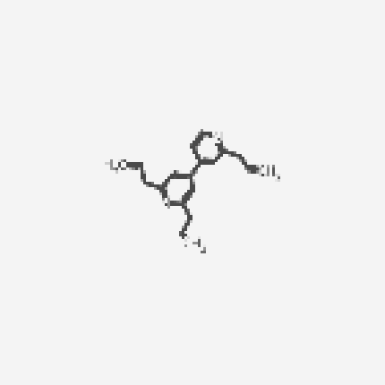 C=CCc1cc(-c2cc(CC=C)nc(CC=C)c2)ccn1